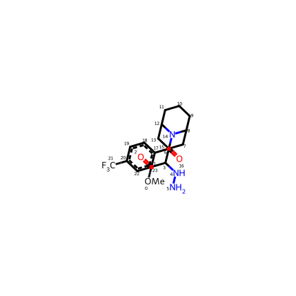 COC(=O)C(NN)C1CC2CCCC(C1)N2C(=O)c1ccc(C(F)(F)F)cc1